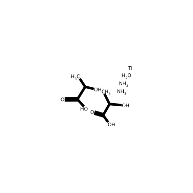 CC(O)C(=O)O.CC(O)C(=O)O.N.N.O.[Ti]